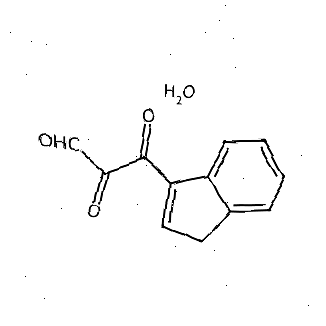 O.O=CC(=O)C(=O)C1=CCc2ccccc21